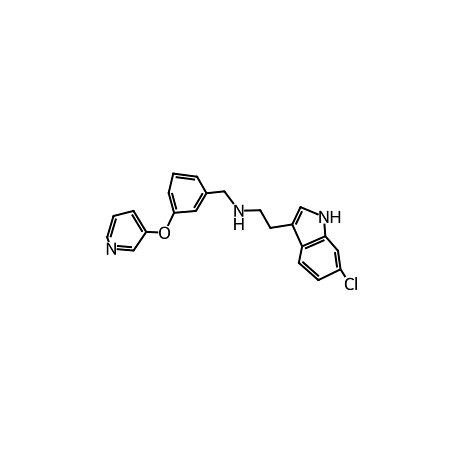 Clc1ccc2c(CCNCc3cccc(Oc4cccnc4)c3)c[nH]c2c1